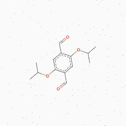 CC(C)Oc1cc(C=O)c(OC(C)C)cc1C=O